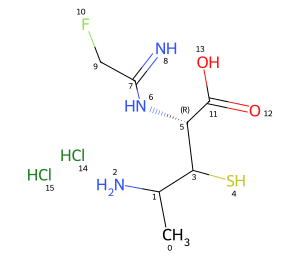 CC(N)C(S)[C@H](NC(=N)CF)C(=O)O.Cl.Cl